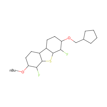 CCCCOC1CCC2C3CCC(OCC4CCCC4)C(F)C3SC2C1F